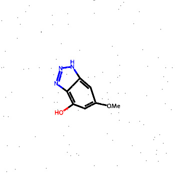 COc1cc(O)c2nn[nH]c2c1